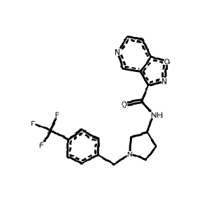 O=C(NC1CCN(Cc2ccc(C(F)(F)F)cc2)C1)c1noc2ccncc12